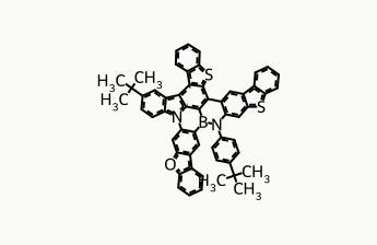 CC(C)(C)c1ccc(N2B3c4cc5c(cc4-n4c6ccc(C(C)(C)C)cc6c6c7c(sc8ccccc87)c(c3c64)-c3cc4c(cc32)sc2ccccc24)oc2ccccc25)cc1